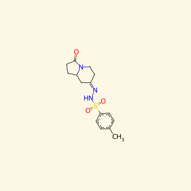 Cc1ccc(S(=O)(=O)N/N=C2/CCN3C(=O)CCC3C2)cc1